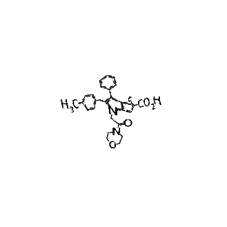 Cc1ccc(-c2c(-c3ccccc3)c3sc(C(=O)O)cc3n2CC(=O)N2CCOCC2)cc1